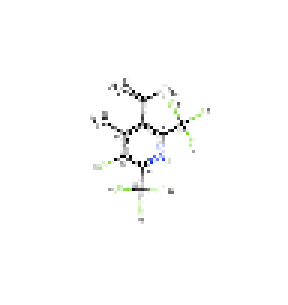 C=C(C)c1c(C(F)(F)F)nc(C(F)(F)F)c(F)c1C